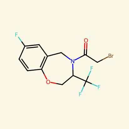 O=C(CBr)N1Cc2cc(F)ccc2OCC1C(F)(F)F